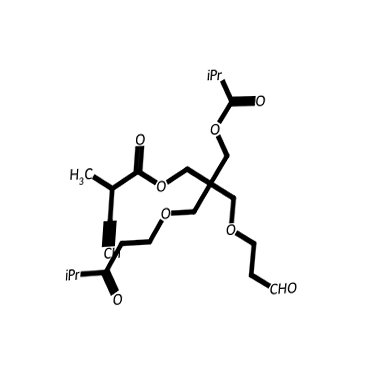 C#CC(C)C(=O)OCC(COCCC=O)(COCCC(=O)C(C)C)COC(=O)C(C)C